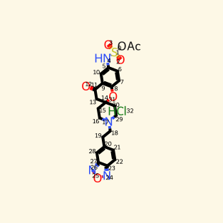 CC(=O)OS(=O)(=O)Nc1ccc2c(c1)C(=O)CC1(CCN(CCc3ccc4nonc4c3)CC1)O2.Cl